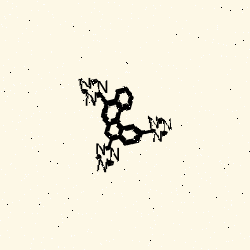 c1ccc2c(c1)c(-c1ncncn1)cc1cc(-c3ncncn3)c3ccc(-c4ncncn4)cc3c12